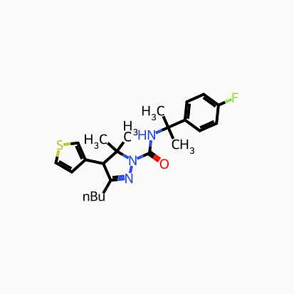 CCCCC1=NN(C(=O)NC(C)(C)c2ccc(F)cc2)C(C)(C)C1c1ccsc1